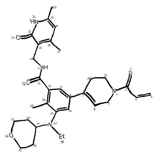 C=CC(=O)N1CC=C(c2cc(C(=O)NCc3c(C)cc(C)[nH]c3=O)c(C)c(N(CC)C3CCOCC3)c2)CC1